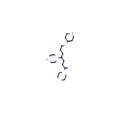 CC(CCC(CCC(C)N1CCNCC1)N1CCN(C)CC1)OC1CCNCC1